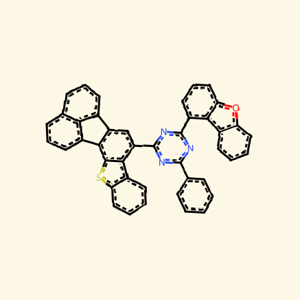 c1ccc(-c2nc(-c3cccc4oc5ccccc5c34)nc(-c3cc4c(c5sc6ccccc6c35)-c3cccc5cccc-4c35)n2)cc1